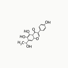 CC(O)C1=CC2OC=C(c3ccc(O)cc3)C(=O)C2C(O)=C1O